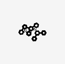 C1=CC2c3cccc(C4=CC5C6C=CCCC6N(C6CC(c7ccccc7)=CC(c7ccccc7)C6)C5C=C4)c3N(c3ccccc3)C2CC1